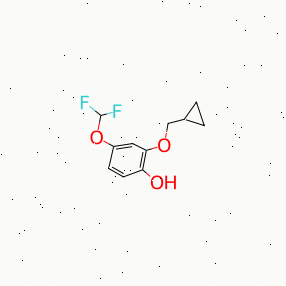 Oc1ccc(OC(F)F)cc1OCC1CC1